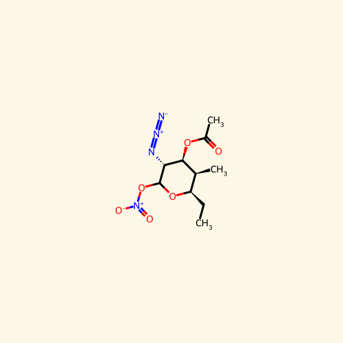 CC[C@H]1OC(O[N+](=O)[O-])[C@H](N=[N+]=[N-])[C@@H](OC(C)=O)[C@H]1C